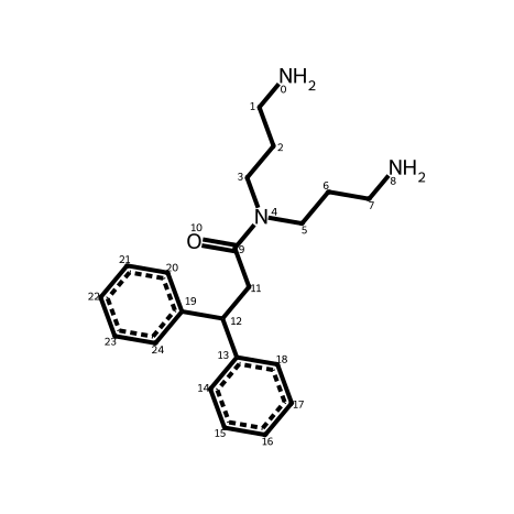 NCCCN(CCCN)C(=O)CC(c1ccccc1)c1ccccc1